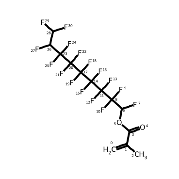 C=C(C)C(=O)OC(F)C(F)(F)C(F)(F)C(F)(F)C(F)(F)C(F)(F)C(F)(F)C(F)C(F)F